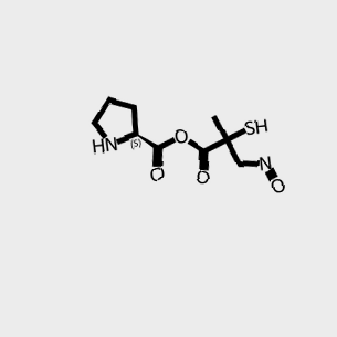 CC(S)(CN=O)C(=O)OC(=O)[C@@H]1CCCN1